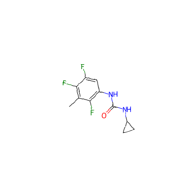 Cc1c(F)c(F)cc(NC(=O)NC2CC2)c1F